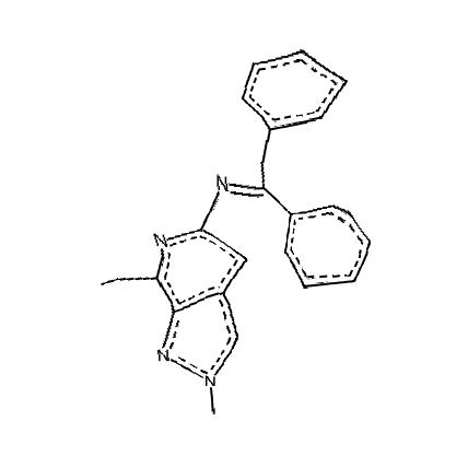 Cc1nc(N=C(c2ccccc2)c2ccccc2)cc2cn(C)nc12